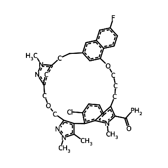 Cc1c2c(nn1C)COCc1cc(n(C)n1)CCc1cc(c3ccc(F)cc3c1)OCCCc1c(C(=O)P)n(C)c3c-2c(Cl)ccc13